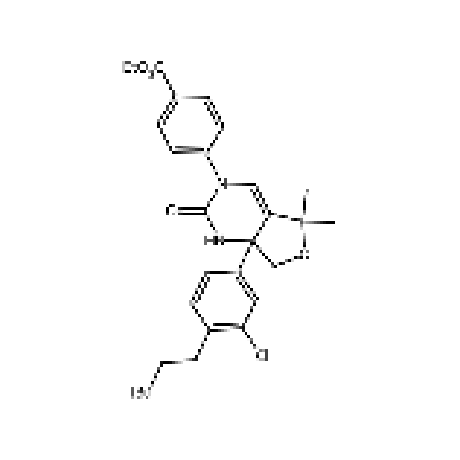 CCOC(=O)c1ccc(N2C=C3C(C)(C)OCC3(c3ccc(CCC(C)(C)C)c(Cl)c3)NC2=O)cc1